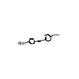 CCCCCCc1ccc(C#Cc2ccc(CCCCC)cc2)nc1